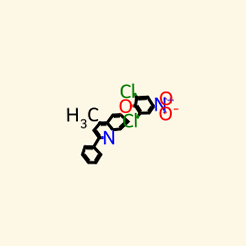 Cc1cc(-c2ccccc2)nc2ccc(Oc3c(Cl)cc([N+](=O)[O-])cc3Cl)cc12